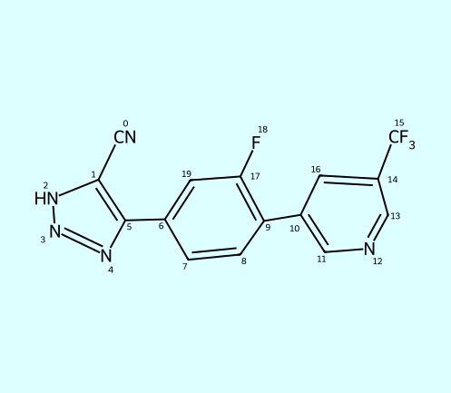 N#Cc1[nH]nnc1-c1ccc(-c2cncc(C(F)(F)F)c2)c(F)c1